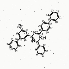 Brc1cc(C2=NC(c3ccccc3)NC(c3ccc(-c4ccccc4)cc3)=N2)cc(-c2ccncc2)c1